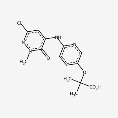 Cn1nc(Cl)cc(Nc2ccc(OC(C)(C)C(=O)O)cn2)c1=O